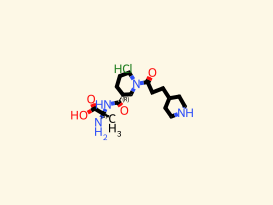 C[C@](N)(NC(=O)[C@@H]1CCCN(C(=O)CCC2CCNCC2)C1)C(=O)O.Cl